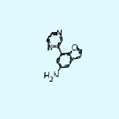 Nc1cc(-c2cnccn2)c2occc2c1